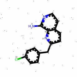 Nc1nccc2ccc(Cc3ccc(Cl)cc3)nc12